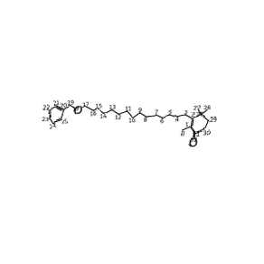 CC1=C(CCCCCCCCCCCCCCCOCc2ccccc2)C(C)(C)CCC1=O